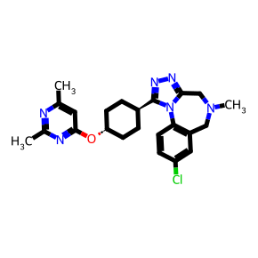 Cc1cc(O[C@H]2CC[C@H](c3nnc4n3-c3ccc(Cl)cc3CN(C)C4)CC2)nc(C)n1